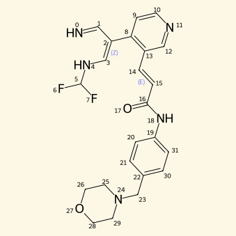 N=C/C(=C\NC(F)F)c1ccncc1/C=C/C(=O)Nc1ccc(CN2CCOCC2)cc1